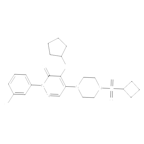 O=c1c(OC2CCCC2)c(N2CCN(S(=O)(=O)C3CCC3)CC2)cnn1-c1cccc(Cl)c1